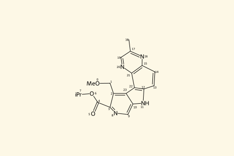 COCc1c(C(=O)OC(C)C)ncc2[nH]c3ccc4nc(C)cnc4c3c12